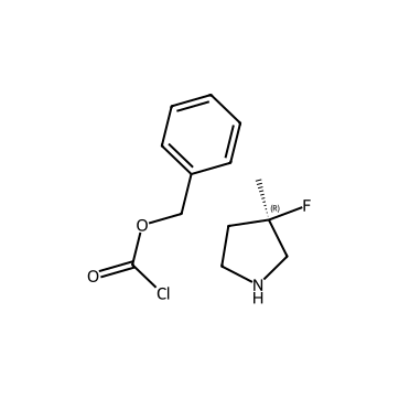 C[C@@]1(F)CCNC1.O=C(Cl)OCc1ccccc1